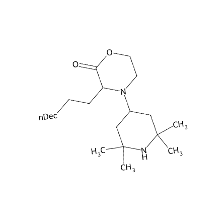 CCCCCCCCCCCCC1C(=O)OCCN1C1CC(C)(C)NC(C)(C)C1